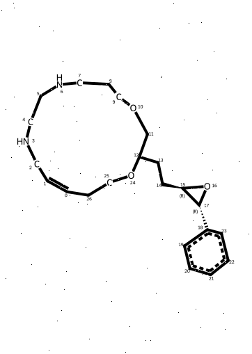 C1=CCNCCNCCCOCC(CC[C@H]2O[C@@H]2c2ccccc2)OCC1